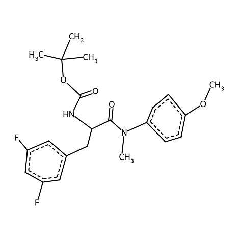 COc1ccc(N(C)C(=O)C(Cc2cc(F)cc(F)c2)NC(=O)OC(C)(C)C)cc1